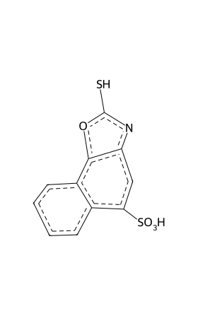 O=S(=O)(O)c1cc2nc(S)oc2c2ccccc12